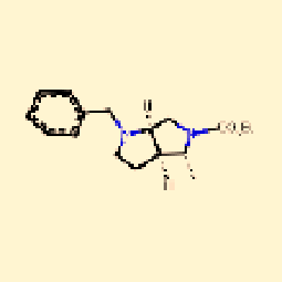 CCOC(=O)N1C[C@H]2[C@H](CCN2Cc2ccccc2)[C@H]1C